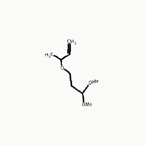 C=CC(C)OCCC(OC)OC